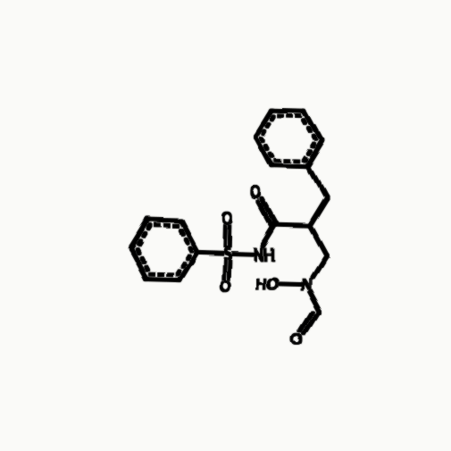 O=CN(O)CC(Cc1ccccc1)C(=O)NS(=O)(=O)c1ccccc1